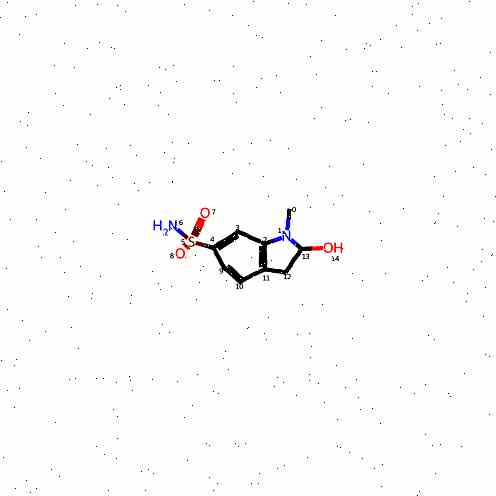 CN1c2cc(S(N)(=O)=O)ccc2CC1O